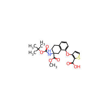 COC(=O)[C@]1(NC(=O)OC(C)(C)C)CCc2cccc(Oc3ccsc3C(=O)O)c2C1